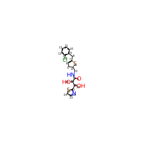 O=C(NCC1CC=C(Cc2ccccc2Cl)S1)[C@H](O)[C@@H](O)c1nccs1